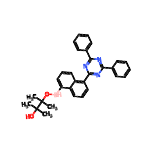 CC(C)(O)C(C)(C)OBc1cccc2c(-c3nc(-c4ccccc4)nc(-c4ccccc4)n3)cccc12